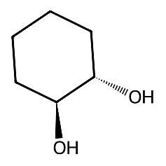 O[C@H]1CCCC[C@@H]1O